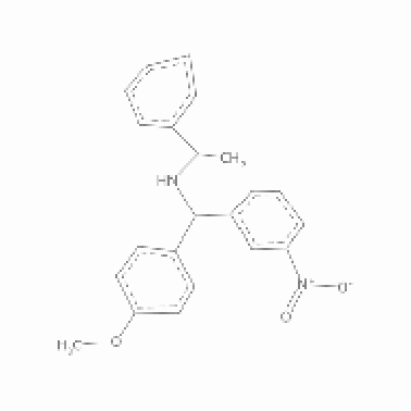 COc1ccc(C(NC(C)c2ccccc2)c2cccc([N+](=O)[O-])c2)cc1